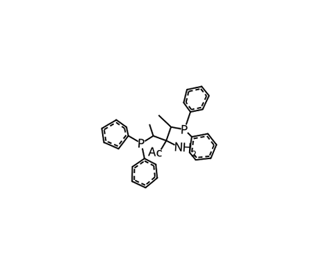 CC(=O)C(N)(C(C)P(c1ccccc1)c1ccccc1)C(C)P(c1ccccc1)c1ccccc1